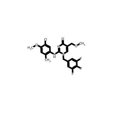 COCc1cn(Cc2cc(F)c(F)c(F)c2)c(Nc2cc(Cl)c(OC)cc2C)nc1=O